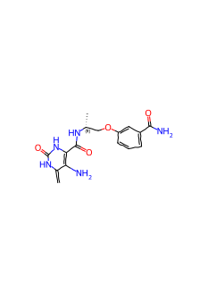 C=C1NC(=O)NC(C(=O)N[C@H](C)COc2cccc(C(N)=O)c2)=C1N